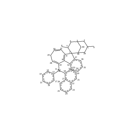 CC1CC2CC(C)C3(C4=C(C(N(c5ccccc5)c5cccc6ccccc56)=CCC=C4)c4ccccc43)C(C1)C2